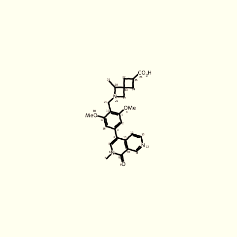 COc1cc(-c2cn(C)c(=O)c3cnccc23)cc(OC)c1CN1CC2(CC(C(=O)O)C2)C1C